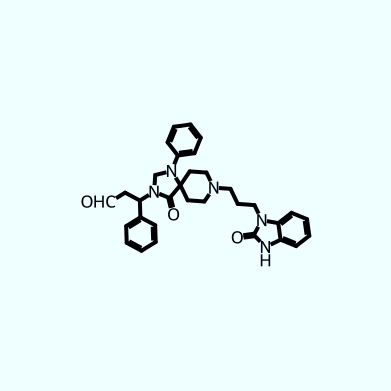 O=CCC(c1ccccc1)N1CN(c2ccccc2)C2(CCN(CCCn3c(=O)[nH]c4ccccc43)CC2)C1=O